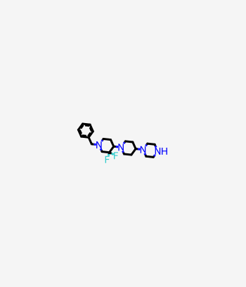 FC1(F)CN(Cc2ccccc2)CCC1N1CCC(N2CCNCC2)CC1